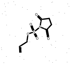 C=CCOS(=O)(=O)N1C(=O)CCC1=O